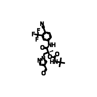 CC(C)(C)NC(=O)O[C@@](C)(Cn1cc(C=O)cn1)C(=O)Nc1ccc(C#N)c(C(F)(F)F)c1